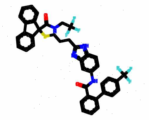 O=C(Nc1ccc2[nH]c(CCCSC3(C(=O)NCC(F)(F)F)c4ccccc4-c4ccccc43)nc2c1)c1ccccc1-c1ccc(C(F)(F)F)cc1